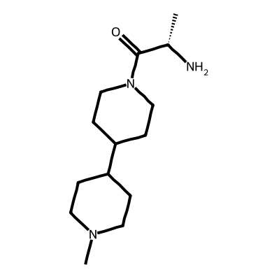 C[C@H](N)C(=O)N1CCC(C2CCN(C)CC2)CC1